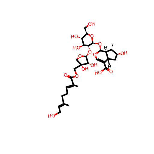 C/C(=C\CO)CC/C=C(\C)C(=O)OC[C@@]1(O)CO[C@@H](O[C@H]2[C@H](O[C@@H]3OC=C(C(=O)O)[C@H]4C[C@H](O)[C@@H](C)[C@H]34)O[C@H](CO)[C@@H](O)[C@@H]2O)[C@@H]1O